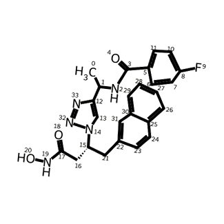 CC(NC(=O)c1ccc(F)cc1)c1cn([C@@H](CC(=O)NO)Cc2ccc3ccccc3c2)nn1